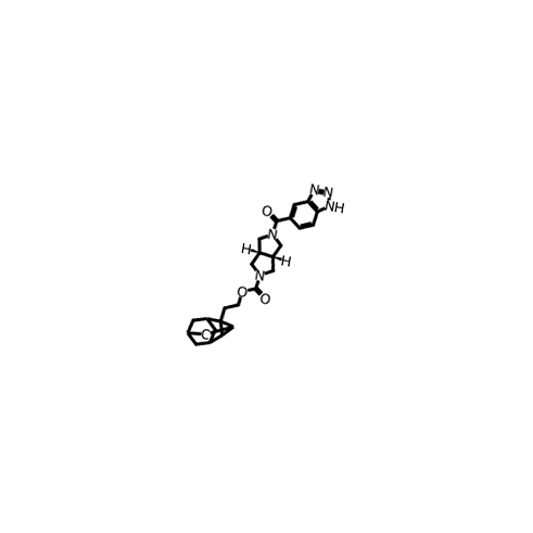 O=C(OCCC12C3CC4CC(C3)C1C2C4)N1C[C@@H]2CN(C(=O)c3ccc4[nH]nnc4c3)C[C@@H]2C1